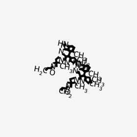 C=CC(=O)N1CC2(CCN(c3nc4c(c(-c5c(C)ccc6[nH]ncc56)c3C#N)CC(C)(C)C4)[C@@H]2C)C1.C=CC(=O)N1CC2(CCN(c3nc4c(c(-c5c(C)ccc6[nH]ncc56)c3C#N)CC(C)(C)C4)[C@H]2C)C1